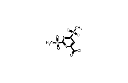 CS(=O)(=O)c1cc(C(=O)Cl)nc(S(C)(=O)=O)n1